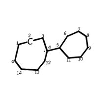 C1CCC[C](C2CCCCCC2)CCC1